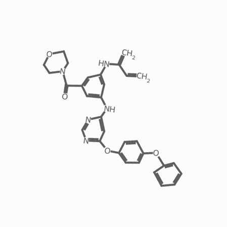 C=CC(=C)Nc1cc(Nc2cc(Oc3ccc(Oc4ccccc4)cc3)ncn2)cc(C(=O)N2CCOCC2)c1